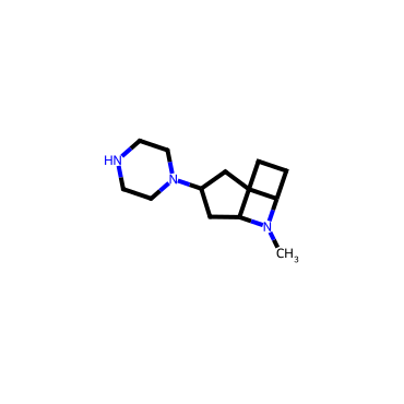 CN1C2CCC23CC(N2CCNCC2)CC13